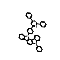 c1ccc(-c2cc(-c3ccc(-n4c5ccccc5c5ccc6c(c7ccccc7n6-c6ccccc6)c54)cc3)nc(-c3ccccc3)n2)cc1